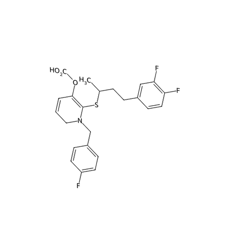 CC(CCc1ccc(F)c(F)c1)SC1=C(OC(=O)O)C=CCN1Cc1ccc(F)cc1